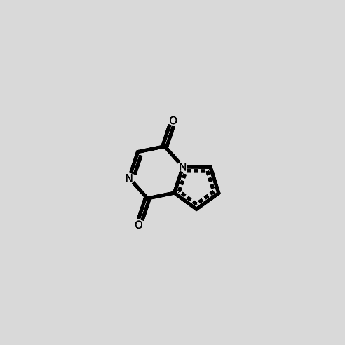 O=C1N=CC(=O)n2cccc21